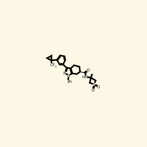 CC(C)n1nc(-c2cccc(C3(C(F)(F)F)CC3)c2)c2c1C[C@H](C(=O)NC1(C)CS(=O)(=O)C1)CC2